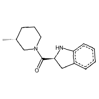 C[C@@H]1CCCN(C(=O)[C@@H]2Cc3ccccc3N2)C1